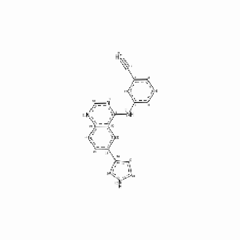 C#Cc1cccc(Nc2ncnc3ccc(-c4cc[nH]c4)cc23)c1